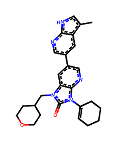 Cc1c[nH]c2ncc(-c3cnc4c(c3)n(CC3CCOCC3)c(=O)n4C3=CCCCC3)cc12